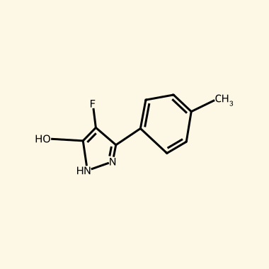 Cc1ccc(-c2n[nH]c(O)c2F)cc1